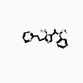 CN(C(=O)c1cnc(CCc2ncccn2)n1C)c1cccnc1